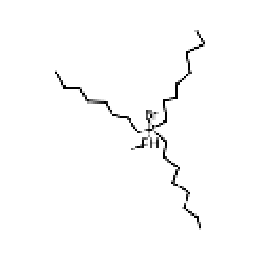 CCCCCCCCP(Br)(CCCCCCCC)(CCCCCCCC)PC